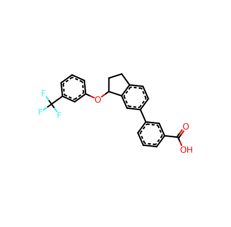 O=C(O)c1cccc(-c2ccc3c(c2)C(Oc2cccc(C(F)(F)F)c2)CC3)c1